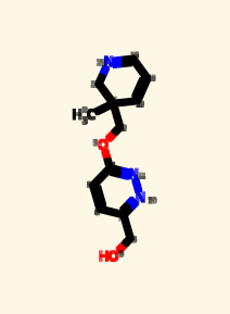 CC1(COc2ccc(CO)nn2)C=CC=NC1